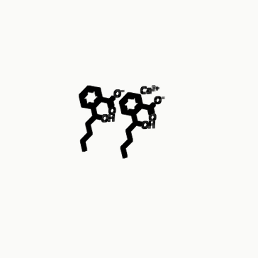 CCCCC(O)c1ccccc1C(=O)[O-].CCCCC(O)c1ccccc1C(=O)[O-].[Ca+2]